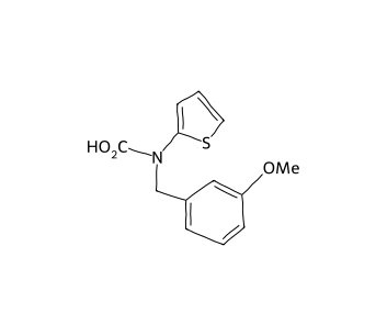 COc1cccc(CN(C(=O)O)c2cccs2)c1